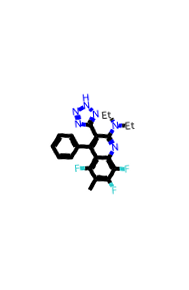 CCN(CC)c1nc2c(F)c(F)c(C)c(F)c2c(-c2ccccc2)c1-c1nn[nH]n1